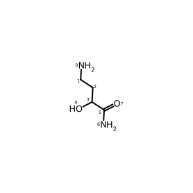 NCCC(O)C(N)=O